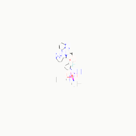 CCN(C)S(=O)(=O)Nc1cccc(C(=O)c2c(C3(C#N)CC3)n(-c3ccccc3)c3ncccc23)c1F